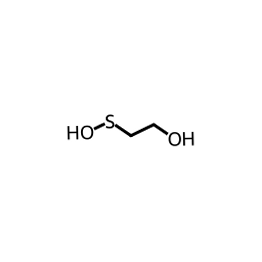 OCCSO